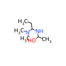 CCC(NC(C)O)N(C)C